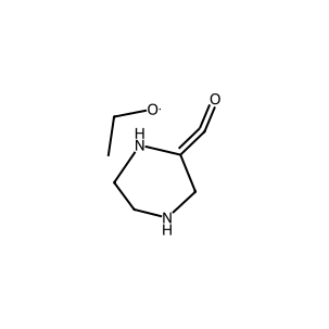 CC[O].O=C=C1CNCCN1